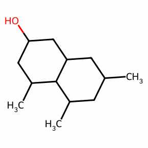 CC1CC(C)C2C(C)CC(O)CC2C1